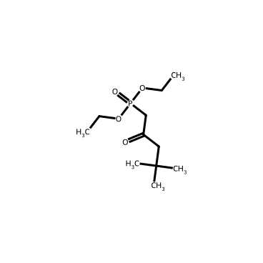 CCOP(=O)(CC(=O)CC(C)(C)C)OCC